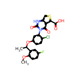 COc1ccc(F)cc1C(C)Oc1ccc(Cl)c(-n2c(=O)[nH]c3csc(C(=O)O)c3c2=O)c1